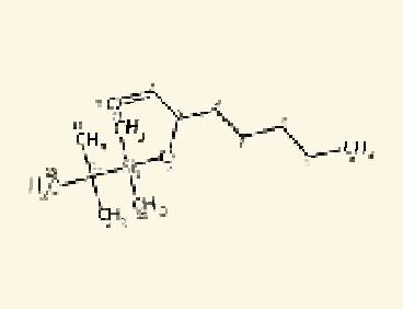 CCCCCC(C=O)O[Si](C)(C)C(C)(C)C